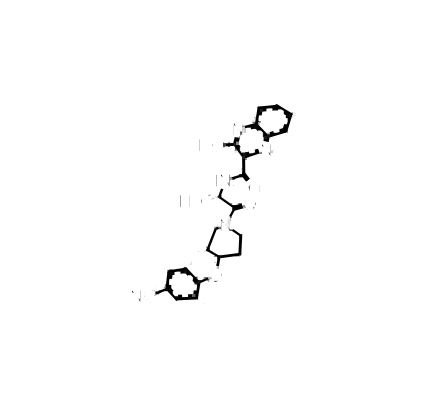 C[C@H](NC(=O)c1nc2ccccc2nc1O)C(=O)N1CCC(Oc2ccc(C#N)cc2)CC1